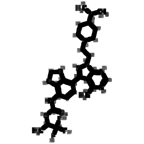 CC(OC(=O)Nc1ccc(-c2nn(CCN3CCC(N(C)C)CC3)c3ncnc(N)c23)c2c1OCO2)C(F)(F)F